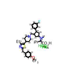 CCc1nc(Cc2ccc(OC(F)(F)F)cc2)sc1C1CCN(CC2CC(N(C)[C@@H](C(=O)O)C(C)C)CC2c2cccc(F)c2)CC1.Cl.Cl.Cl